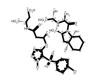 CC(CC(=O)N[C@@H](CC(=O)O)C(=O)O)Oc1no[n+]([O-])c1S(=O)(=O)c1ccc(Cl)cc1.CCC[C@H](N[C@@H](C)C(=O)N1[C@H](C(=O)O)C[C@@H]2CCCC[C@@H]21)C(=O)OCC